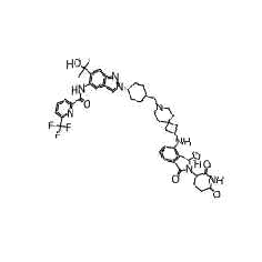 CC(C)(O)c1cc2nn([C@H]3CC[C@H](CN4CCC5(CC4)CC(Nc4cccc6c4C(O)N(C4CCC(=O)NC4=O)C6=O)C5)CC3)cc2cc1NC(=O)c1cccc(C(F)(F)F)n1